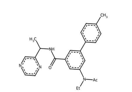 CCN(C(C)=O)c1cc(C(=O)NC(C)c2cnccn2)cc(-c2ccc(C)cc2)c1